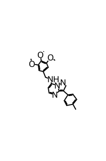 COc1cc(CNc2ccnc3c(-c4ccc(C)cc4)cnn23)cc(OC)c1OC